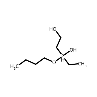 CCCCO[PH](O)(CC)CCO